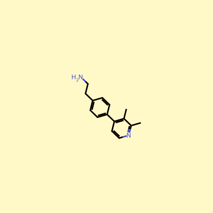 Cc1nccc(-c2ccc(CCN)cc2)c1C